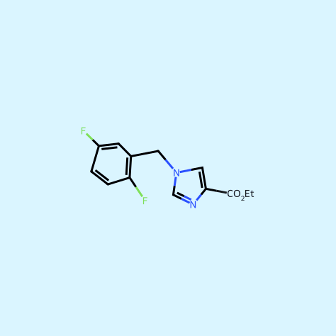 CCOC(=O)c1cn(Cc2cc(F)ccc2F)cn1